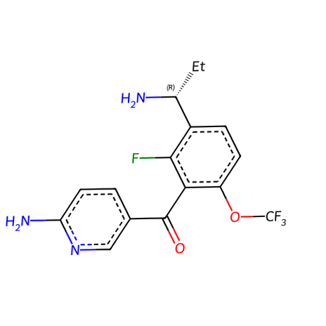 CC[C@@H](N)c1ccc(OC(F)(F)F)c(C(=O)c2ccc(N)nc2)c1F